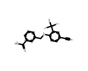 N#Cc1ccc(OCc2cccc(C(=O)O)c2)c(C(F)(F)F)c1